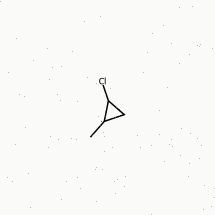 C[C]1CC1Cl